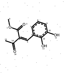 COC(=O)C(=Cc1cccc(O)c1O)C(C)=O